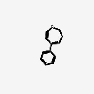 C1=CC(c2ccccc2)=CCCN1